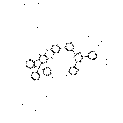 c1ccc(-c2nc(-c3cccc(-c4ccc5c(c4)Oc4cc6c(cc4O5)-c4ccccc4C6(c4ccccc4)c4ccccc4)c3)nc(-c3ccccn3)n2)cc1